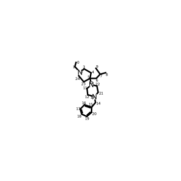 CCN1CCC(CC(C)C)(N2CCN(Cc3ccccc3)CC2)CC1